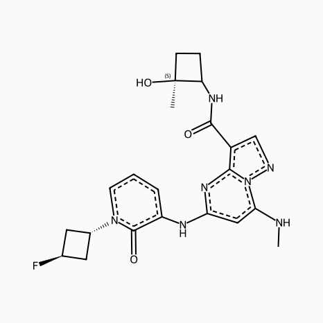 CNc1cc(Nc2cccn([C@H]3C[C@H](F)C3)c2=O)nc2c(C(=O)NC3CC[C@]3(C)O)cnn12